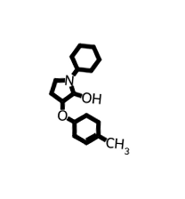 CC1=CCC(OC2CCN(C3CCCCC3)C2O)CC1